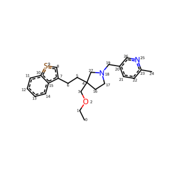 CCOCC1(CCc2csc3ccccc23)CCN(Cc2ccc(C)nc2)C1